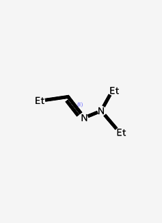 CC/C=N/N(CC)CC